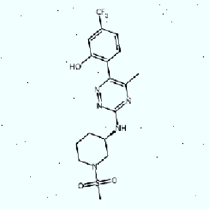 Cc1nc(N[C@@H]2CCCN(S(C)(=O)=O)C2)nnc1-c1ccc(C(F)(F)F)cc1O